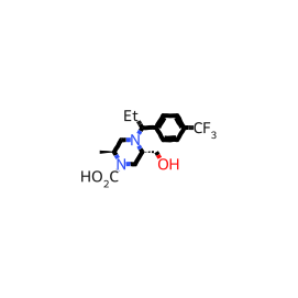 CCC(c1ccc(C(F)(F)F)cc1)N1C[C@H](C)N(C(=O)O)C[C@H]1CO